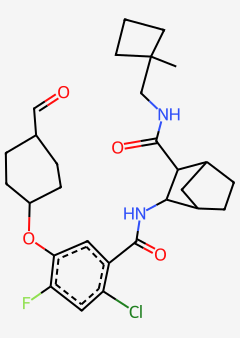 CC1(CNC(=O)C2C3CCC(C3)C2NC(=O)c2cc(OC3CCC(C=O)CC3)c(F)cc2Cl)CCC1